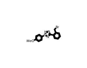 COc1ccc(-n2nnc(-c3ccccc3CBr)n2)cc1